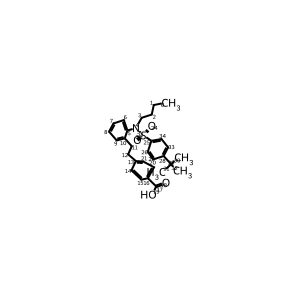 CCCCN(c1ccccc1CCc1ccc(C(=O)O)cc1)S(=O)(=O)c1ccc(C(C)(C)C)cc1